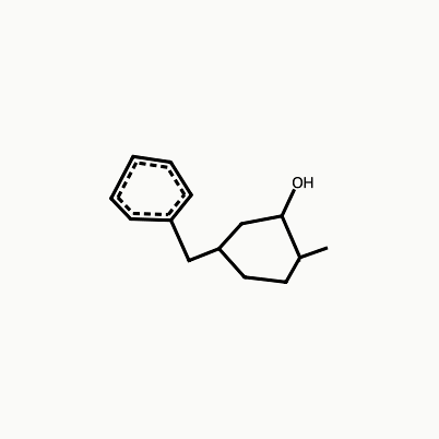 C[C]1CCC(Cc2ccccc2)CC1O